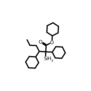 CCCC(C1CCCCC1)C([SiH3])(C(=O)OC1CCCCC1)C1CCCCC1